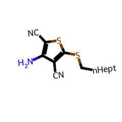 CCCCCCCCSc1sc(C#N)c(N)c1C#N